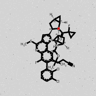 CSc1nc2c(F)c(-c3cccc(Cl)c3Cl)c(CCC#N)cc2c2c1cc([C@H]1C[C@H]3C[C@H]3N1C(=O)C1(F)CC1)n2[C@H]1[C@@H]2C[C@H]1N(C(=O)OC(C)(C)C)C2